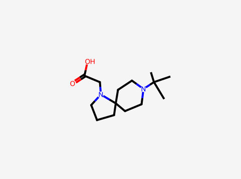 CC(C)(C)N1CCC2(CCCN2CC(=O)O)CC1